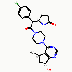 C[C@@H]1C[C@@H](O)c2ncnc(N3CCN(C(=O)[C@@H](c4ccc(Cl)cc4)[C@H]4CCC(=O)N4)CC3)c21